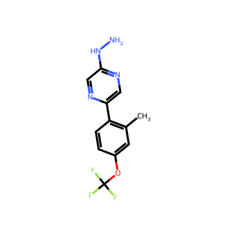 Cc1cc(OC(F)(F)F)ccc1-c1cnc(NN)cn1